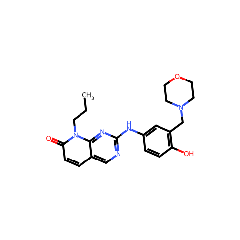 CCCn1c(=O)ccc2cnc(Nc3ccc(O)c(CN4CCOCC4)c3)nc21